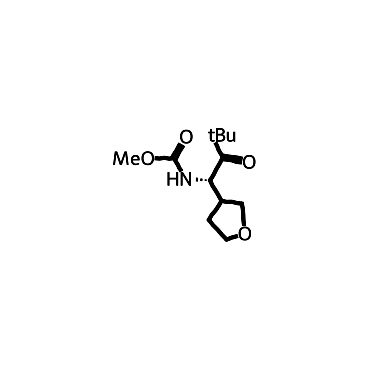 COC(=O)N[C@H](C(=O)C(C)(C)C)C1CCOC1